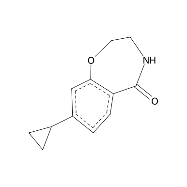 O=C1NCCOc2cc(C3CC3)ccc21